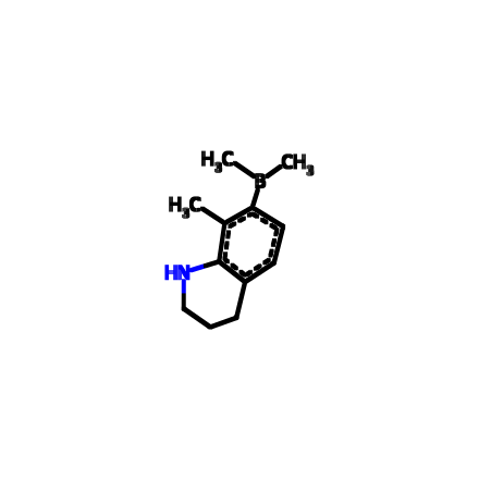 CB(C)c1ccc2c(c1C)NCCC2